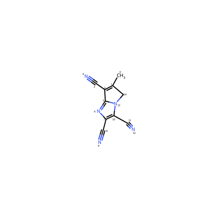 CC1=C(C#N)c2nc(C#N)c(C#N)n2C1